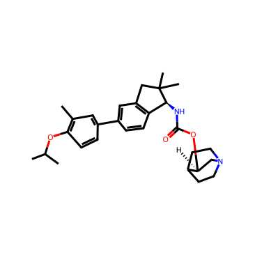 Cc1cc(-c2ccc3c(c2)CC(C)(C)[C@H]3NC(=O)O[C@H]2CN3CCC2CC3)ccc1OC(C)C